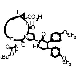 CC(C)(C)OC(=O)N[C@@H]1CCCCC/C=C\[C@@H]2C[C@]2(C(=O)O)NC(=O)C2C[C@@H](N3NC[C@H](c4ccc(OC(F)(F)F)cc4)C(c4ccc(OC(F)(F)F)cc4)C3=O)CN2C1=O